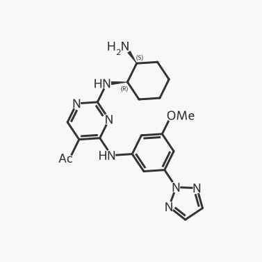 COc1cc(Nc2nc(N[C@@H]3CCCC[C@@H]3N)ncc2C(C)=O)cc(-n2nccn2)c1